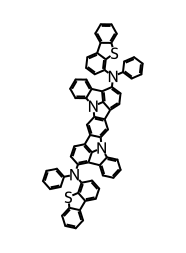 c1ccc(N(c2cccc3c2sc2ccccc23)c2ccc3c4cc5c(cc4n4c6ccccc6c2c34)c2ccc(N(c3ccccc3)c3cccc4c3sc3ccccc34)c3c4ccccc4n5c23)cc1